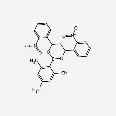 Cc1cc(C)c(B2OC(c3ccccc3[N+](=O)[O-])CC(c3ccccc3[N+](=O)[O-])O2)c(C)c1